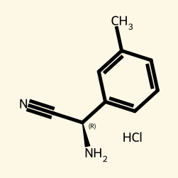 Cc1cccc([C@@H](N)C#N)c1.Cl